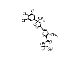 Cc1cc(C2=NOC(c3cc(Cl)c(Cl)c(Cl)c3)(C(F)(F)F)C2)sc1C(=O)NC1(CO)CCC1